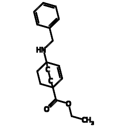 CCOC(=O)C12C=CC(NCc3ccccc3)(CC1)CC2